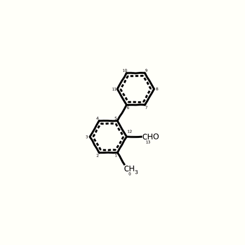 Cc1cccc(-c2ccccc2)c1C=O